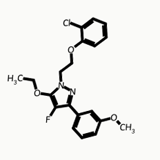 CCOc1c(F)c(-c2cccc(OC)c2)nn1CCOc1ccccc1Cl